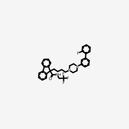 O=C(NCC(F)(F)F)C1(CCCCN2CCN(c3cccc(-c4ccccc4F)c3)CC2)c2ccccc2-c2ccccc21